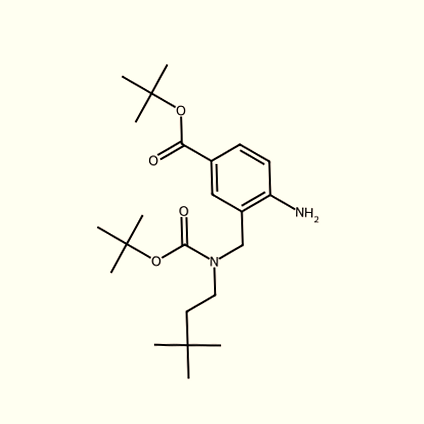 CC(C)(C)CCN(Cc1cc(C(=O)OC(C)(C)C)ccc1N)C(=O)OC(C)(C)C